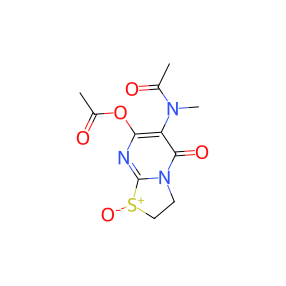 CC(=O)Oc1nc2n(c(=O)c1N(C)C(C)=O)CC[S+]2[O-]